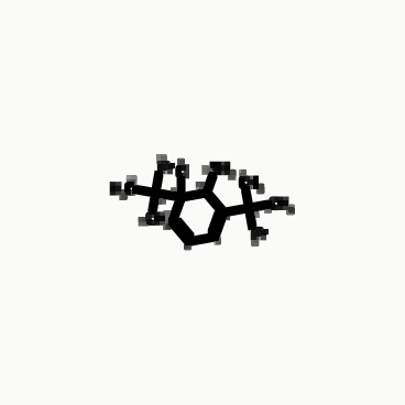 CC(C)C(C)(C)C1=CC=CC(Cl)(C(C)(C)C(C)C)C1N